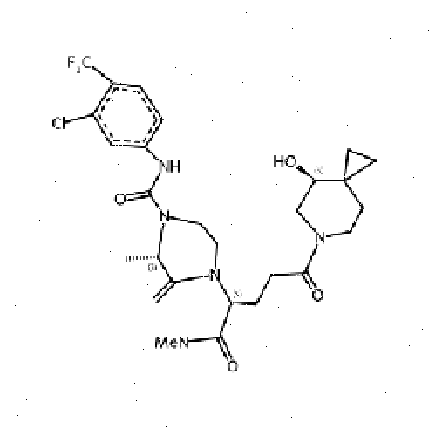 C=C1[C@H](C)N(C(=O)Nc2ccc(C(F)(F)F)c(Cl)c2)CCN1[C@@H](CCC(=O)N1CCC2(CC2)[C@H](O)C1)C(=O)NC